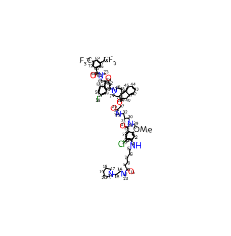 COc1cc(NCCCCCC(=O)N(C)CCN2CCCCC2)c(Cl)cc1C(=O)N(C)CCCN(C)C(=O)CO[C@H]1Cc2ccccc2C12CCN(CC[C@@]1(c3ccc(F)cc3)CN(C(=O)c3cc(C(F)(F)F)cc(C(F)(F)F)c3)CO1)CC2